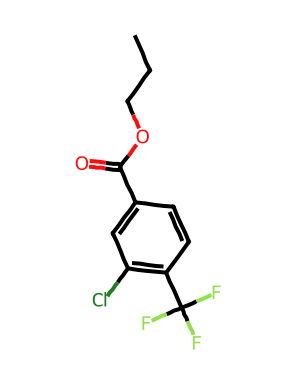 CCCOC(=O)c1ccc(C(F)(F)F)c(Cl)c1